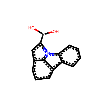 OB(O)c1cc2cccc3c4ccccc4n1c23